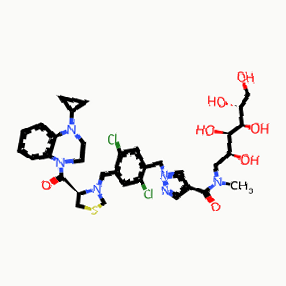 CN(C[C@H](O)[C@@H](O)[C@H](O)[C@H](O)CO)C(=O)c1cnn(Cc2cc(Cl)c(CN3CSC[C@H]3C(=O)N3CCN(C4CC4)c4ccccc43)cc2Cl)c1